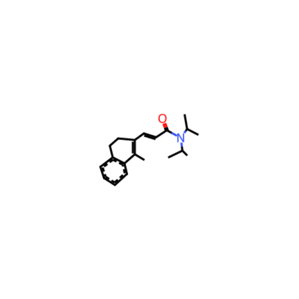 CC1=C(C=CC(=O)N(C(C)C)C(C)C)CCc2ccccc21